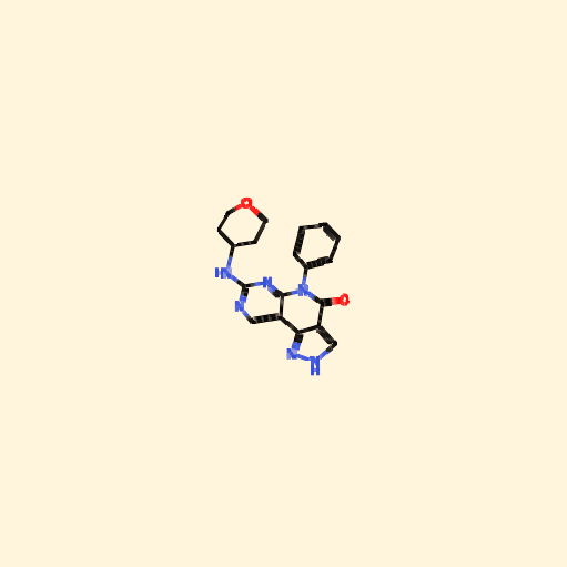 O=c1c2c[nH]nc2c2cnc(NC3CCOCC3)nc2n1-c1ccccc1